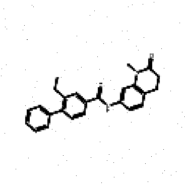 CCc1cc(C(=O)Nc2ccc3c(c2)N(C)C(=O)CC3)ccc1-c1ccccc1